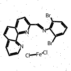 Brc1cccc(Br)c1N=Cc1ccc2ccc3cccnc3c2n1.[Cl][Fe][Cl]